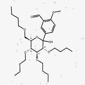 CCCCOC[C@H]1OC(O)(c2ccc(OC)c(C=O)c2)[C@H](OCCCC)[C@@H](OCCCC)[C@@H]1OCCCC